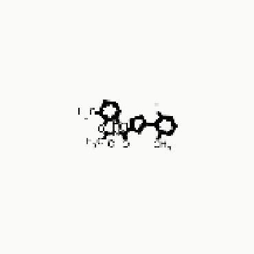 Cc1cccc(Cl)c1OP(C)(=O)NC(=O)C1=CCC(c2c(C)cccc2F)=C1